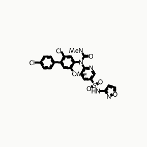 CNC(=O)N(c1ccc(S(=O)(=O)Nc2ccon2)cn1)c1cc(Cl)c(-c2ccc(Cl)cc2)cc1OC